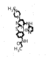 CCC(=O)Nc1ccc(Sc2nc(Nc3ccn[nH]3)cc(N3CCN(C)CC3)n2)cc1